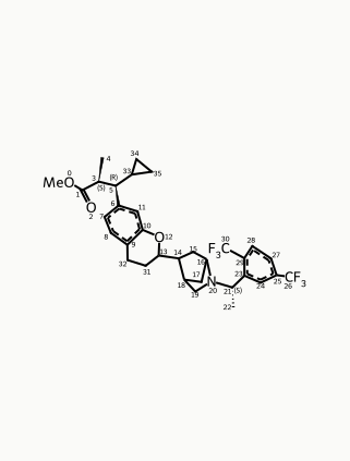 COC(=O)[C@@H](C)[C@H](c1ccc2c(c1)OC(C1CC3CC1CN3[C@@H](C)c1cc(C(F)(F)F)ccc1C(F)(F)F)CC2)C1CC1